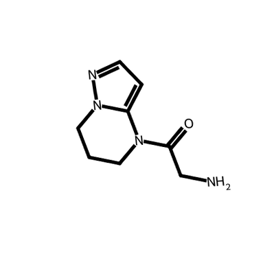 NCC(=O)N1CCCn2nccc21